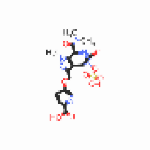 CN(C)C(=O)C1c2c(c(COc3ccc(C(=O)O)nc3)nn2C)C2CN1C(=O)N2OS(=O)(=O)O